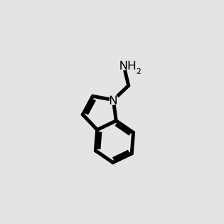 NCn1ccc2ccccc21